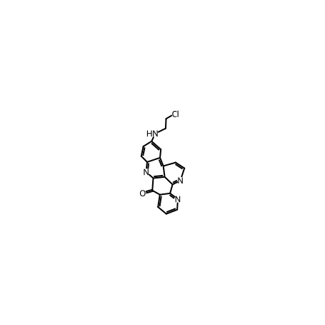 O=C1c2cccnc2-c2nccc3c2c1nc1ccc(NCCCl)cc13